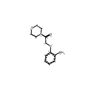 Nc1ccccc1OCC(=O)N1CCOCC1